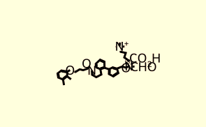 Cc1cccc(OCCCC(=O)N2CCCc3c(-c4cccc(CON(C=O)[C@@H](CCC[N+](C)(C)C)C(=O)O)c4)cccc32)c1C